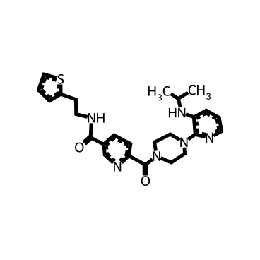 CC(C)Nc1cccnc1N1CCN(C(=O)c2ccc(C(=O)NCCc3cccs3)cn2)CC1